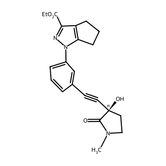 CCOC(=O)c1nn(-c2cccc(C#C[C@]3(O)CCN(C)C3=O)c2)c2c1CCC2